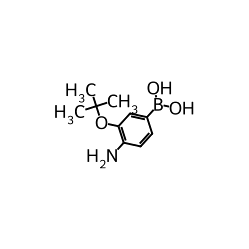 CC(C)(C)Oc1cc(B(O)O)ccc1N